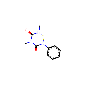 CN1SN(c2ccccc2)C(=O)N(C)C1=O